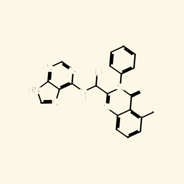 CCC(Nc1ncnc2[nH]cnc12)c1nc2cccc(C)c2c(=O)n1-c1ccccc1